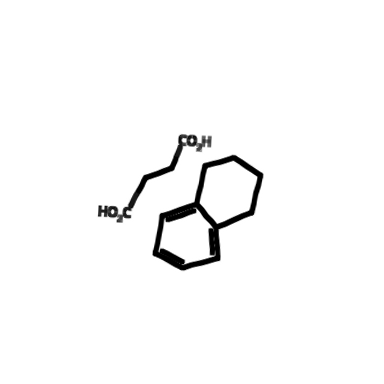 O=C(O)CCC(=O)O.c1ccc2c(c1)CCCC2